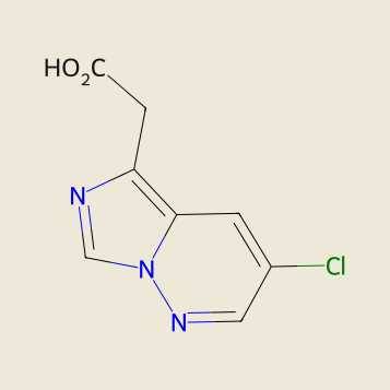 O=C(O)Cc1ncn2ncc(Cl)cc12